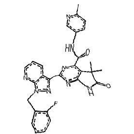 Cc1ccc(NC(=O)c2nc(-c3nn(Cc4ccccc4F)c4ncccc34)nc3c2C(C)(C)C(=O)N3)cn1